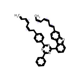 C=C/C=C\C=C/Cc1ccc(-c2nc(-c3ccccc3)nc(-c3cccc4oc5cc(/C=C/C=C\C=C/C)ccc5c34)n2)cc1